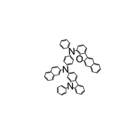 c1ccc(N(c2ccc(N(c3ccc4ccccc4c3)c3ccc4c5ccccc5n(-c5ccccc5)c4c3)cc2)c2cccc3c2oc2cc4ccccc4cc23)cc1